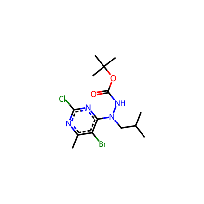 Cc1nc(Cl)nc(N(CC(C)C)NC(=O)OC(C)(C)C)c1Br